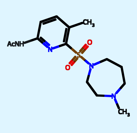 CC(=O)Nc1ccc(C)c(S(=O)(=O)N2CCCN(C)CC2)n1